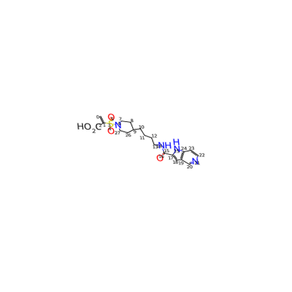 C=C(C(=O)O)S(=O)(=O)N1CCC(CCCCNC(=O)c2cc3cnccc3[nH]2)CC1